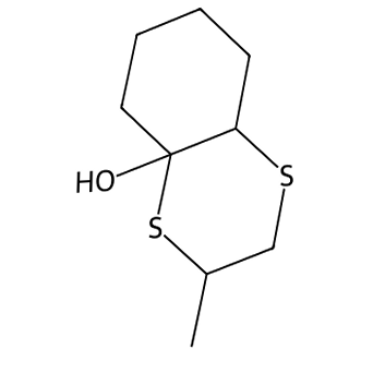 CC1CSC2CCCCC2(O)S1